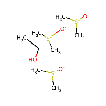 CCO.C[S+](C)[O-].C[S+](C)[O-].C[S+](C)[O-]